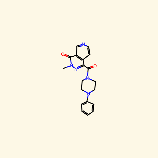 Cn1nc(C(=O)N2CCN(c3ccccc3)CC2)c2ccncc2c1=O